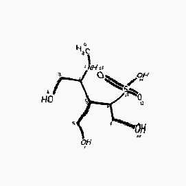 CNC(CO)C(CO)C(CO)S(=O)(=O)O